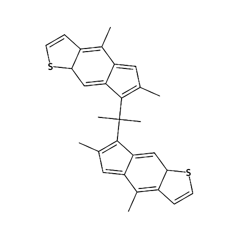 CC1=C(C(C)(C)C2=C(C)C=C3C2=CC2SC=CC2=C3C)C2=CC3SC=CC3=C(C)C2=C1